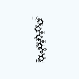 Cc1cccc(-c2nccc(Nc3ccnc(Nc4cncc(C(=O)OCC5CCNCC5)c4)n3)n2)n1